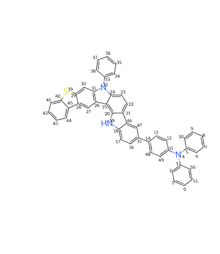 c1ccc(N(c2ccccc2)c2ccc(-c3ccc4[nH]c5c(ccc6c5c5cc7c(cc5n6-c5ccccc5)sc5ccccc57)c4c3)cc2)cc1